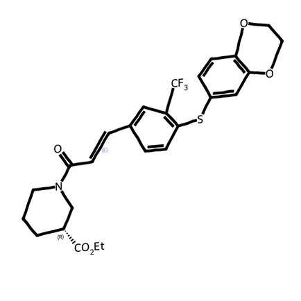 CCOC(=O)[C@@H]1CCCN(C(=O)/C=C/c2ccc(Sc3ccc4c(c3)OCCO4)c(C(F)(F)F)c2)C1